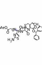 C=CC1=C(C(=O)OC(c2ccccc2)c2ccccc2)N2C(=O)C(NC(=O)/C(=N/OCC(=O)OC)c3csc(N)n3)[C@H]2SC1